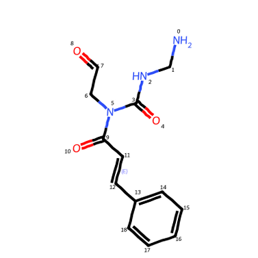 NCNC(=O)N(C[C]=O)C(=O)/C=C/c1ccccc1